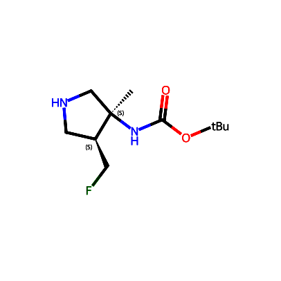 CC(C)(C)OC(=O)N[C@]1(C)CNC[C@@H]1CF